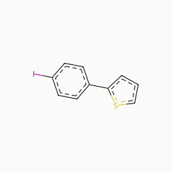 Ic1ccc(-c2cccs2)cc1